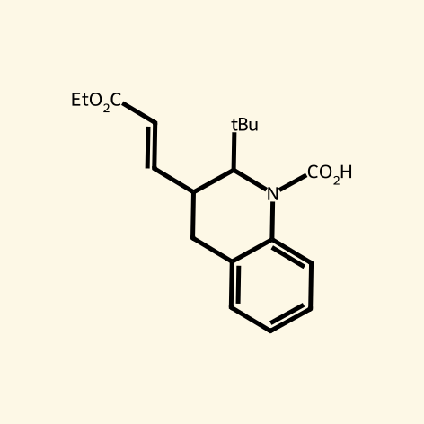 CCOC(=O)C=CC1Cc2ccccc2N(C(=O)O)C1C(C)(C)C